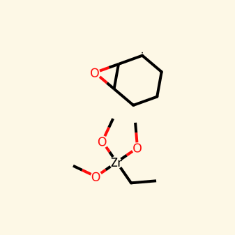 C[CH2][Zr]([O]C)([O]C)[O]C.[CH]1CCCC2OC12